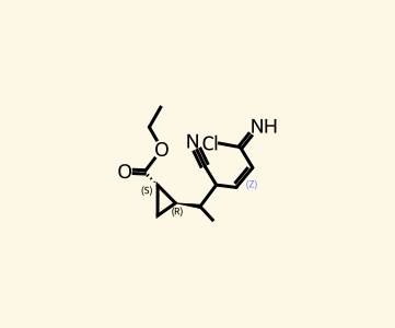 CCOC(=O)[C@H]1C[C@@H]1C(C)C(C#N)/C=C\C(=N)Cl